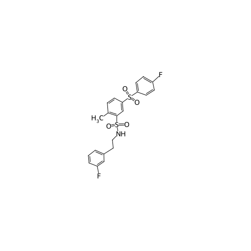 Cc1ccc(S(=O)(=O)c2ccc(F)cc2)cc1S(=O)(=O)NCCc1cccc(F)c1